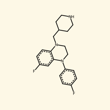 Fc1ccc(N2CCN(CC3CCNCC3)c3ccc(F)cc32)cc1